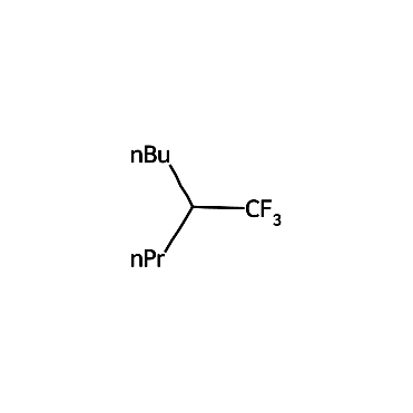 CCCCC(CCC)C(F)(F)F